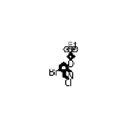 CCS(=O)(=O)[C@H]1C[C@@H](Oc2ccc(Br)c3cc(Cl)ncc23)C1